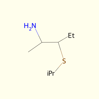 CCC(SC(C)C)C(C)N